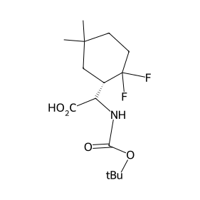 CC1(C)CCC(F)(F)[C@H](C(NC(=O)OC(C)(C)C)C(=O)O)C1